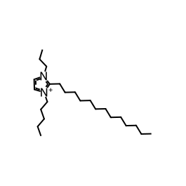 CCCCCCCCCCCCCc1n(CCC)cc[n+]1CCCCC